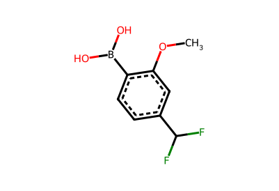 COc1cc(C(F)F)ccc1B(O)O